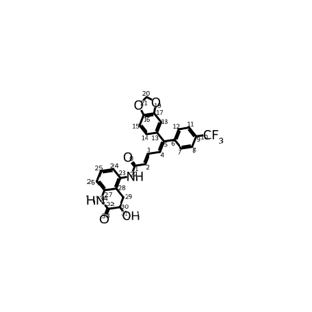 O=C(C=CC=C(c1ccc(C(F)(F)F)cc1)c1ccc2c(c1)OCO2)Nc1cccc2c1CC(O)C(=O)N2